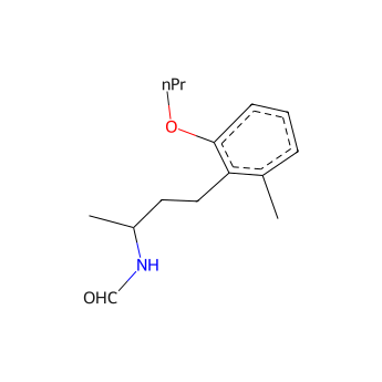 CCCOc1cccc(C)c1CCC(C)NC=O